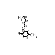 Cc1ccc(I)c(OCCC[SiH3])c1